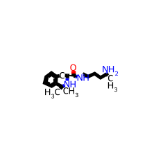 CC(N)CCCCNC(=O)[C@@H]1Cc2ccccc2C(C)(C)N1